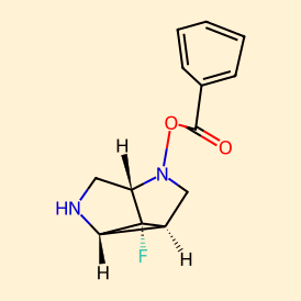 O=C(ON1C[C@H]2[C@@H]3NC[C@H]1[C@@]23F)c1ccccc1